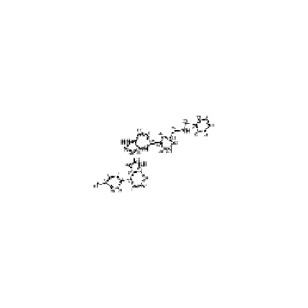 Fc1ccc(-c2cncc3[nH]c(-c4n[nH]c5ccc(-c6cncc(CNCc7ccccc7)c6)nc45)cc23)cc1